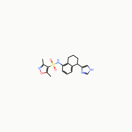 Cc1noc(C)c1S(=O)(=O)Nc1cccc2c1CCCC2c1c[nH]cn1